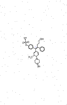 CC1C=C(/C(=C(/CCCO)c2ccccc2)c2ccc(OS(=O)(=O)C3CC3)cc2)C=CC1N1CCN(C(C)C)CC1